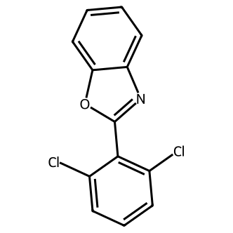 Clc1cccc(Cl)c1-c1nc2ccccc2o1